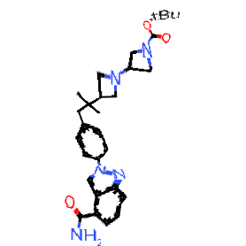 CC(C)(C)OC(=O)N1CC(N2CC(C(C)(C)Cc3ccc(-n4cc5c(C(N)=O)cccc5n4)cc3)C2)C1